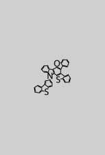 c1ccc2c(c1)oc1c2c2c3ccccc3sc2c2c1c1ccccc1n2-c1ccc2sc3ccccc3c2c1